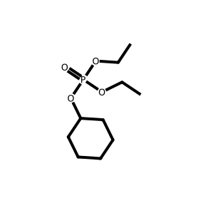 CCOP(=O)(OCC)OC1CCCCC1